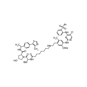 COc1cc(CCNCCCCCCCC(=O)N[C@H](C(=O)N2C[C@H](O)C[C@H]2C(=O)N[C@@H](C)c2ccc(-c3scnc3C)cc2)C(C)(C)C)c(C)cc1Nc1ncc(Cl)c(Nc2ccccc2S(=O)(=O)C(C)C)n1